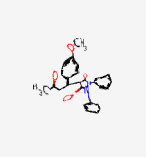 COc1ccc(C(CC(C)=O)C2C(=O)N(c3ccccc3)N(c3ccccc3)C2=O)cc1